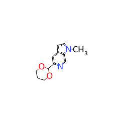 Cn1ccc2cc(C3OCCCO3)ncc21